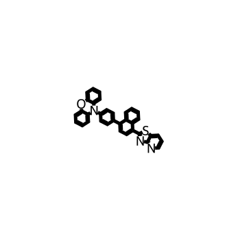 c1ccc2c(c1)Oc1ccccc1N2c1ccc(-c2ccc(-c3nc4ncccc4s3)c3ccccc23)cc1